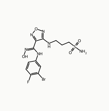 NS(=O)(=O)CCCNc1nonc1/C(=N/O)Nc1ccc(F)c(Br)c1